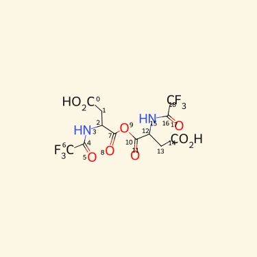 O=C(O)CC(NC(=O)C(F)(F)F)C(=O)OC(=O)C(CC(=O)O)NC(=O)C(F)(F)F